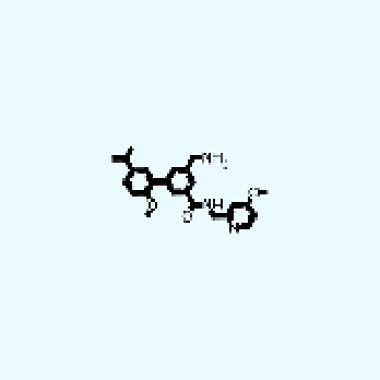 COc1ccnc(CNC(=O)c2cc(CN)cc(-c3cc(C(C)C)ccc3OC)c2)c1